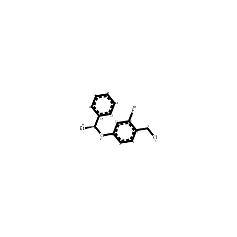 [CH2]C[C@H](Oc1ccc(CCl)c(F)c1)c1ccccc1